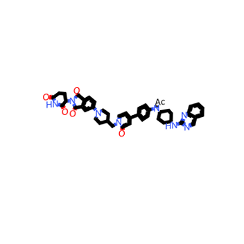 CC(=O)N(c1ccc(-c2ccn(CC3CCN(c4ccc5c(c4)C(=O)N(C4CCC(=O)NC4=O)C5=O)CC3)c(=O)c2)cc1)C1CCC(Nc2ncc3ccccc3n2)CC1